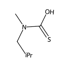 CC(C)CN(C)C(O)=S